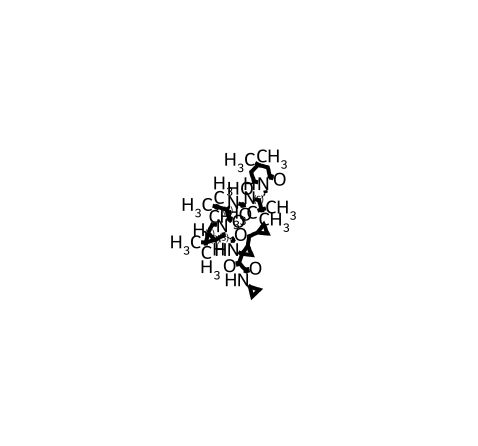 CC1(C)CC(=O)N(C[C@@H](NC(=O)N[C@H](C(=O)N2C[C@H]3[C@@H]([C@H]2C(=O)NC2(C(=O)C(=O)NC4CC4)CC2CC2CC2)C3(C)C)C(C)(C)C)C(C)(C)C)C(=O)C1